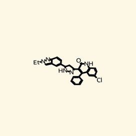 CCn1cc2cc(C3CC(c4c(-c5ccccc5)c5cc(Cl)ccc5[nH]c4=O)=NN3)ccc2n1